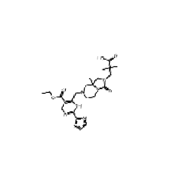 CCOC(=O)C1=C(CN2CCN3C(=O)N(CC(C)(C)C(=O)O)CC3(C)C2)NC(c2nccs2)=NC1